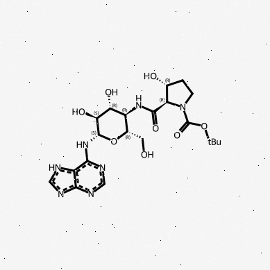 CC(C)(C)OC(=O)N1CC[C@@H](O)[C@@H]1C(=O)N[C@@H]1[C@@H](O)[C@H](O)[C@@H](Nc2ncnc3nc[nH]c23)O[C@H]1CO